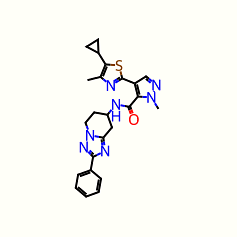 Cc1nc(-c2cnn(C)c2C(=O)NC2CCn3nc(-c4ccccc4)nc3C2)sc1C1CC1